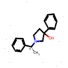 C[C@H](c1ccccc1)N1CCC(O)(c2ccccc2)C1